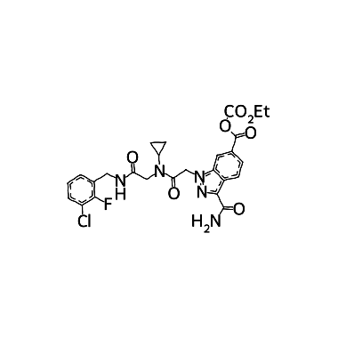 CCOC(=O)OC(=O)c1ccc2c(C(N)=O)nn(CC(=O)N(CC(=O)NCc3cccc(Cl)c3F)C3CC3)c2c1